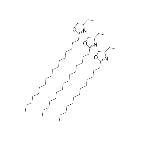 CCCCCCCCCCCCCC1=NC(CC)CO1.CCCCCCCCCCCCCCCC1=NC(CC)CO1.CCCCCCCCCCCCCCCCCC1=NC(CC)CO1